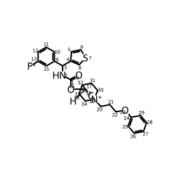 O=C(NC(c1ccsc1)c1cccc(F)c1)O[C@H]1C[N+]2(CCCOc3ccccc3)CCC1CC2